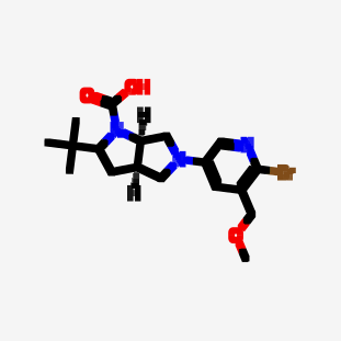 COCc1cc(N2C[C@H]3CC(C(C)(C)C)N(C(=O)O)[C@H]3C2)cnc1Br